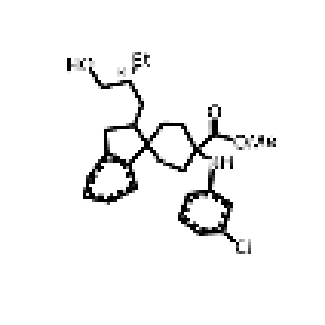 CC[C@@H](CO)CC1Cc2ccccc2C12CCC(Nc1cccc(Cl)c1)(C(=O)OC)CC2